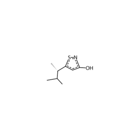 CC(C)[C@H](C)c1cc(O)ns1